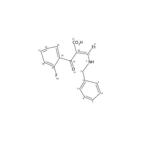 CCC(NCc1ccccc1)=C(C(=O)O)C(=O)c1ccccc1F